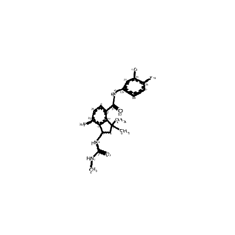 CNC(=O)NC1CC(C)(C)c2c(C(=O)Nc3ccc(F)c(Cl)c3)ccc(F)c21